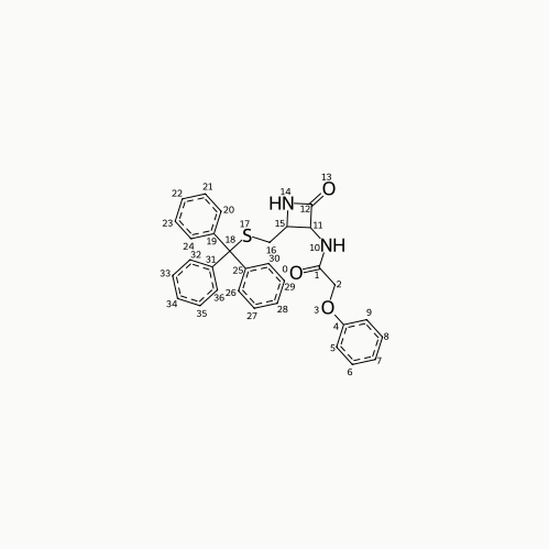 O=C(COc1ccccc1)NC1C(=O)NC1CSC(c1ccccc1)(c1ccccc1)c1ccccc1